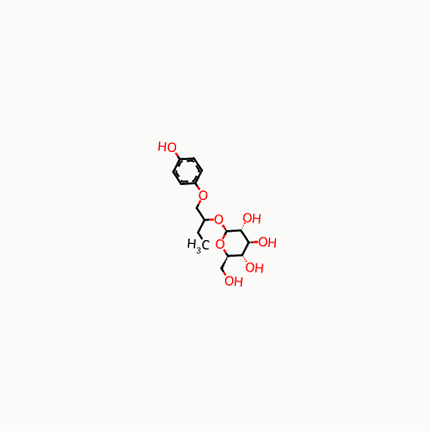 CCC(COc1ccc(O)cc1)O[C@@H]1O[C@H](CO)[C@@H](O)[C@H](O)[C@H]1O